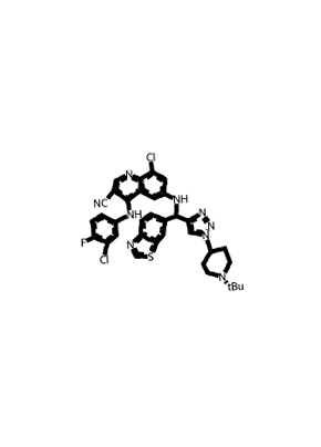 CC(C)(C)N1CCC(n2cc(C(Nc3cc(Cl)c4ncc(C#N)c(Nc5ccc(F)c(Cl)c5)c4c3)c3ccc4ncsc4c3)nn2)CC1